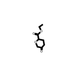 CCOC(=O)C1CCC(=O)CO1